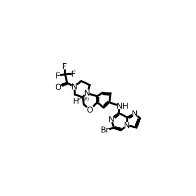 O=C(N1CCN2c3ccc(Nc4nc(Br)cn5ccnc45)cc3OC[C@H]2C1)C(F)(F)F